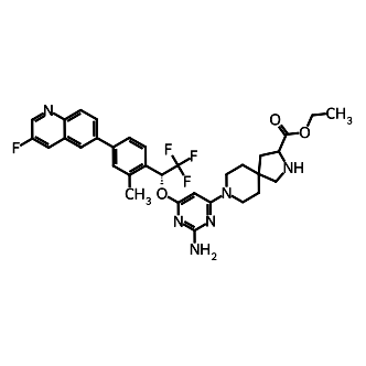 CCOC(=O)C1CC2(CCN(c3cc(O[C@H](c4ccc(-c5ccc6ncc(F)cc6c5)cc4C)C(F)(F)F)nc(N)n3)CC2)CN1